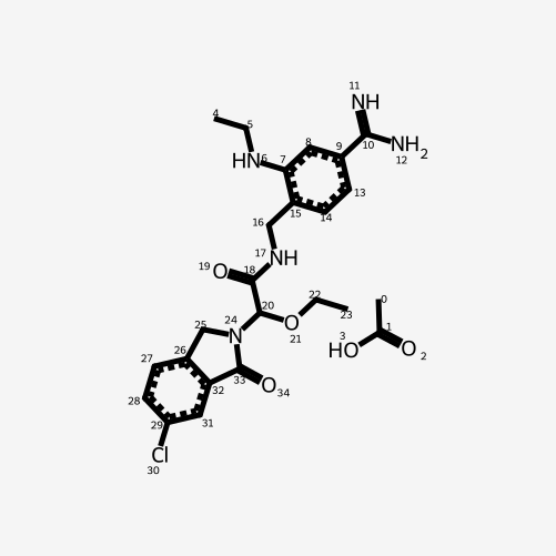 CC(=O)O.CCNc1cc(C(=N)N)ccc1CNC(=O)C(OCC)N1Cc2ccc(Cl)cc2C1=O